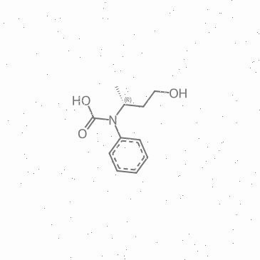 C[C@H](CCO)N(C(=O)O)c1ccccc1